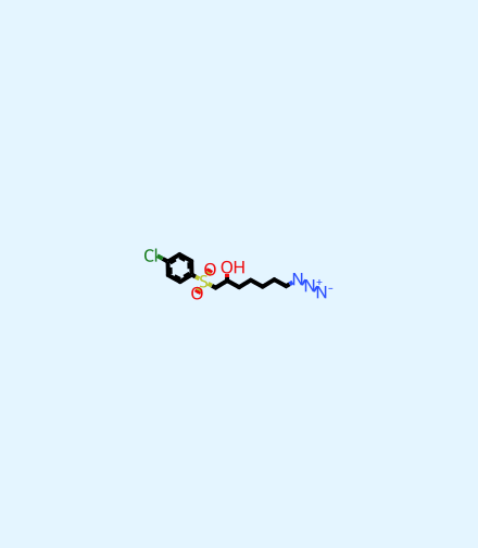 [N-]=[N+]=NCCCCCC(O)CS(=O)(=O)c1ccc(Cl)cc1